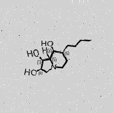 CCCC[C@H]1CCN2C[C@@H](O)[C@@H](O)[C@@H]2[C@H]1O